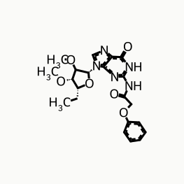 CC[C@H]1O[C@@H](n2cnc3c(=O)[nH]c(NC(=O)COc4ccccc4)nc32)C(OC)[C@H]1OC